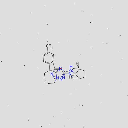 Cc1cc(N2CC3CC[C@@H](C2)[C@@H]3Nc2nc3n(n2)CCCCC3c2ccc(C(F)(F)F)cc2)ncn1